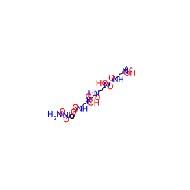 CC(=O)N(O)CCCCCNC(=O)CCC(=O)N(O)CCCCCNC(=O)CCC(=O)N(O)CCCCCNC(=O)COc1cccc(C(=O)NCC(N)=O)c1